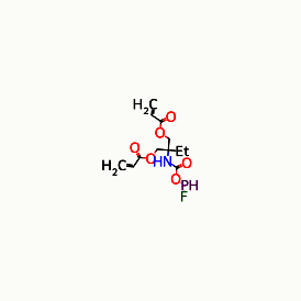 C=CC(=O)OCC(CC)(COC(=O)C=C)NC(=O)OPF